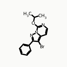 CC(C)Oc1nccc2c(Br)c(-c3ccccc3)nn12